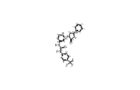 O=C(Nc1ccc(C(F)(F)F)cc1)Nc1cc(N2CC(c3ccccc3)CC2=O)ccn1